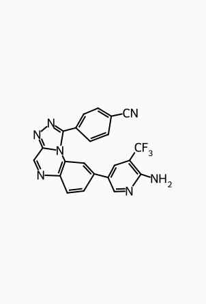 N#Cc1ccc(-c2nnc3cnc4ccc(-c5cnc(N)c(C(F)(F)F)c5)cc4n23)cc1